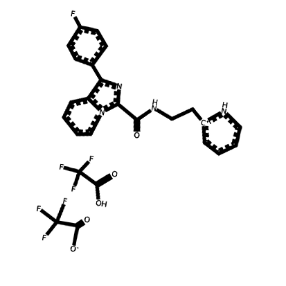 O=C(NCC[c+]1cccc[nH]1)c1nc(-c2ccc(F)cc2)c2ccccn12.O=C(O)C(F)(F)F.O=C([O-])C(F)(F)F